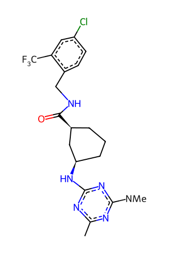 CNc1nc(C)nc(N[C@@H]2CCC[C@H](C(=O)NCc3ccc(Cl)cc3C(F)(F)F)C2)n1